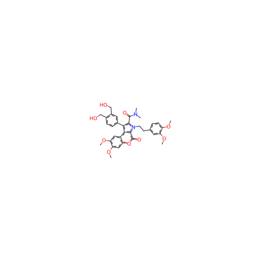 COc1ccc(CCn2c(C(=O)N(C)C)c(-c3ccc(CO)c(CO)c3)c3c4cc(OC)c(OC)cc4oc(=O)c32)cc1OC